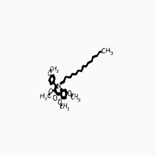 CCCCCCCCCCCCCCCCn1c(-c2ccc(OC)cc2)c(OC)c(=O)c2c(OC)cc(OC)cc21